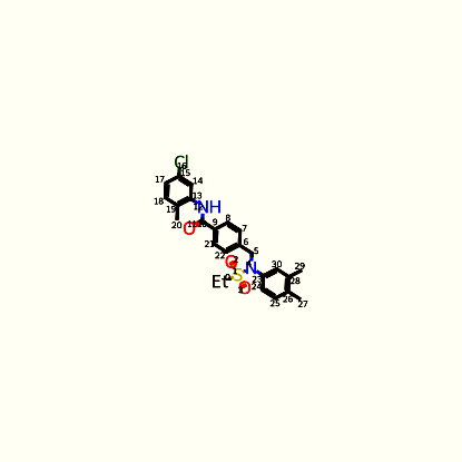 CCS(=O)(=O)N(Cc1ccc(C(=O)Nc2cc(Cl)ccc2C)cc1)c1ccc(C)c(C)c1